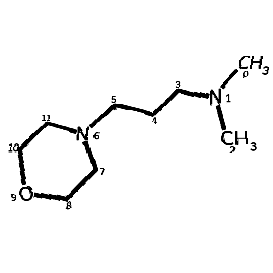 CN(C)CC[CH]N1CCOCC1